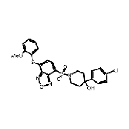 COc1ccccc1Sc1ccc(S(=O)(=O)N2CCC(O)(c3ccc(Cl)cc3)CC2)c2nonc12